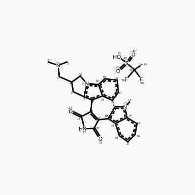 CN(C)CC1Cc2c(C3=C(c4cn(C)c5ccccc45)C(=O)NC3=O)c3ccccc3n2C1.O=S(=O)(O)C(F)(F)F